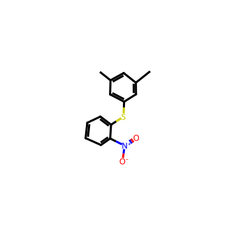 Cc1cc(C)cc(Sc2ccccc2[N+](=O)[O-])c1